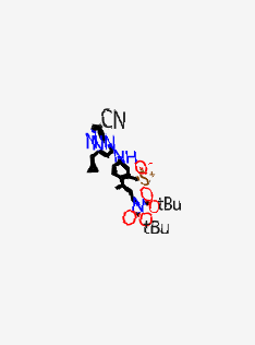 C/C(=C\CN(C(=O)OC(C)(C)C)C(=O)OC(C)(C)C)c1ccc(Nc2cc(CC3CC3)n3ncc(C#N)c3n2)cc1C[S+](C)[O-]